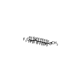 C=COC(F)(F)C(F)(F)C(F)(F)C(F)(F)C(F)(F)C(F)(F)C(F)(F)C(F)(F)C(F)(F)C(F)(F)C(F)(F)C(F)(F)F